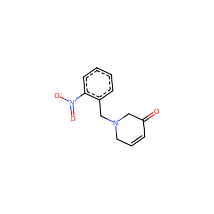 O=C1C=CCN(Cc2ccccc2[N+](=O)[O-])C1